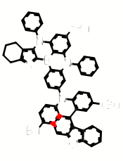 CC(C)(C)c1ccc(N(c2ccc3c(c2)N(c2ccccc2)c2cc(C(C)(C)C)cc4c2B3c2sc3c(c2N4c2ccccc2)CCCC3)c2ccc(C(C)(C)C)cc2-c2cccc3oc4ccccc4c23)cc1